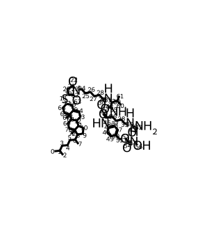 CC(C)CCCC(C)C1CCC2C3CC=C4CC(SC5CC(=O)N(CCCCCC(=O)NC(C(=O)NC(CCCNC(N)=O)C(=O)Nc6ccc(COC(=O)NO)cc6)C(C)C)C5=O)CCC4(C)C3CCC12C